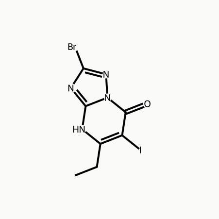 CCc1[nH]c2nc(Br)nn2c(=O)c1I